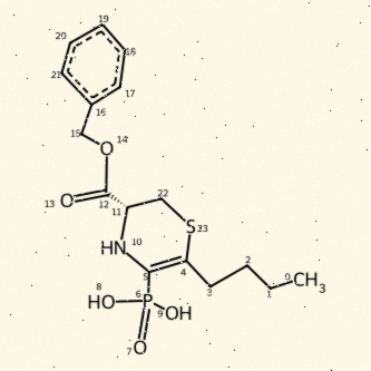 CCCCC1=C(P(=O)(O)O)N[C@H](C(=O)OCc2ccccc2)CS1